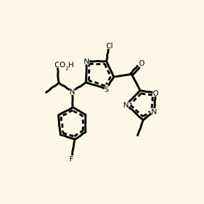 Cc1noc(C(=O)c2sc(N(c3ccc(F)cc3)C(C)C(=O)O)nc2Cl)n1